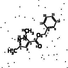 Cc1cc(C(=O)OCc2ccccc2)n(C)n1